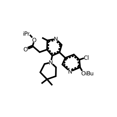 Cc1ncc(-c2cnc(OCC(C)C)c(Cl)c2)c(N2CCC(C)(C)CC2)c1CC(=O)OC(C)C